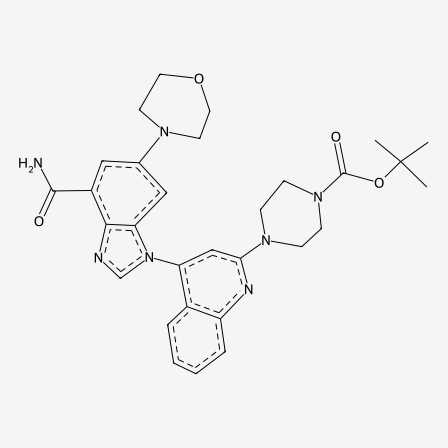 CC(C)(C)OC(=O)N1CCN(c2cc(-n3cnc4c(C(N)=O)cc(N5CCOCC5)cc43)c3ccccc3n2)CC1